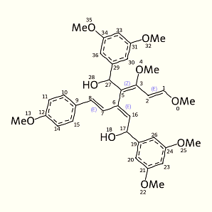 CO/C=C/C(OC)=C(C(\C=C\c1ccc(OC)cc1)=C\C(O)c1cc(OC)cc(OC)c1)/C(O)c1cc(OC)cc(OC)c1